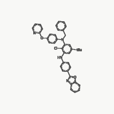 CC(C)(C)c1cc(Nc2ccc(-c3nc4ccccc4o3)cc2)c(Cl)c(N(Cc2ccccc2)c2ccc(Oc3ccccn3)cc2)c1